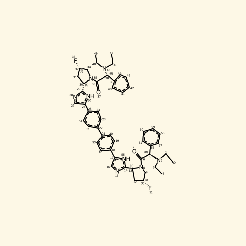 CCN(CC)[C@@H](C(=O)N1C[C@H](F)C[C@H]1c1ncc(-c2ccc(-c3ccc(-c4cnc([C@@H]5C[C@H](F)CN5C(=O)[C@@H](c5ccccc5)N(CC)CC)[nH]4)cc3)cc2)[nH]1)c1ccccc1